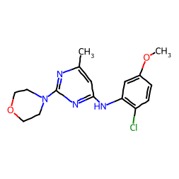 COc1ccc(Cl)c(Nc2cc(C)nc(N3CCOCC3)n2)c1